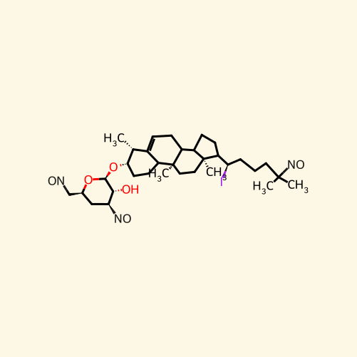 C[C@@H]1C2=CCC3C4CCC([C@H](I)CCCC(C)(C)N=O)[C@@]4(C)CC[C@@]3(C)C2CC[C@@H]1O[C@@H]1O[C@H](CN=O)C[C@H](N=O)[C@H]1O